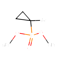 CCCOP(=O)(OCCC)C1(C(C)=O)CC1